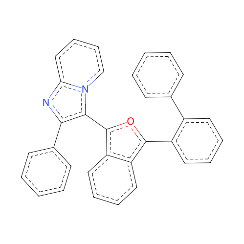 c1ccc(-c2ccccc2-c2oc(-c3c(-c4ccccc4)nc4ccccn34)c3ccccc23)cc1